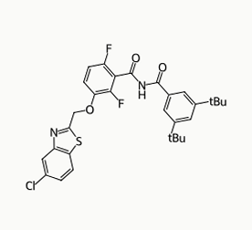 CC(C)(C)c1cc(C(=O)NC(=O)c2c(F)ccc(OCc3nc4cc(Cl)ccc4s3)c2F)cc(C(C)(C)C)c1